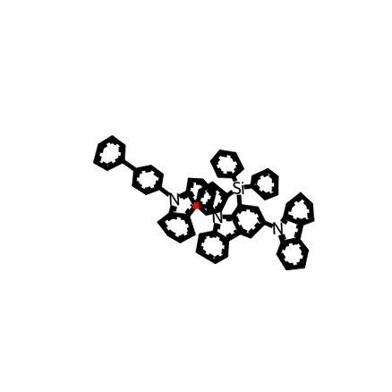 c1ccc(-c2ccc(-n3c4ccccc4c4c(-n5c6ccccc6c6cc(-n7c8ccccc8c8ccccc87)cc([Si](c7ccccc7)(c7ccccc7)c7ccccc7)c65)cccc43)cc2)cc1